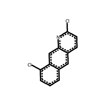 Clc1ccc2cc3cccc(Cl)c3cc2n1